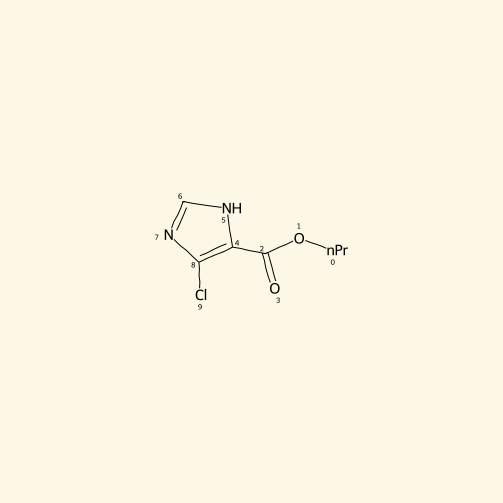 CCCOC(=O)c1[nH]cnc1Cl